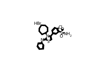 Br.NS(=O)(=O)c1cc(-c2csc(=Nc3ccccc3)n2C2CCCCCCC2)ccc1Cl